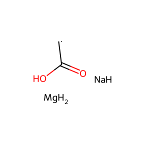 [CH2]C(=O)O.[MgH2].[NaH]